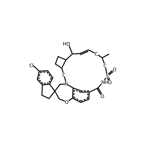 CC1C/C=C/C(O)C2CCC2CN2CC3(CCc4cc(Cl)ccc43)COc3ccc(cc32)C(=O)NS(=O)(=O)C1